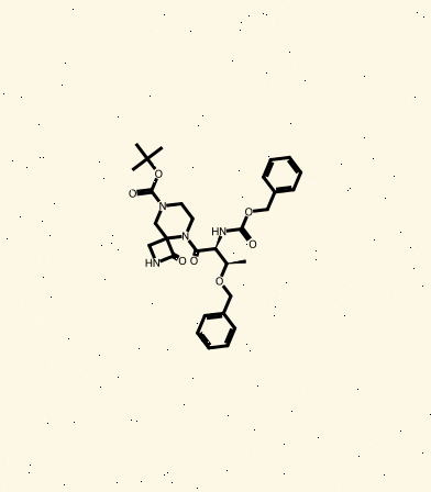 C[C@@H](OCc1ccccc1)[C@H](NC(=O)OCc1ccccc1)C(=O)N1CCN(C(=O)OC(C)(C)C)CC12CNC2=O